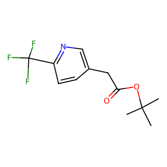 CC(C)(C)OC(=O)Cc1ccc(C(F)(F)F)nc1